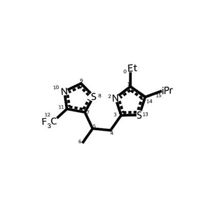 CCc1nc(CC(C)c2scnc2C(F)(F)F)sc1C(C)C